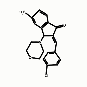 Bc1ccc2c(c1)C(N1CCOCC1)/C(=C\c1ccc(Cl)cc1)C2=O